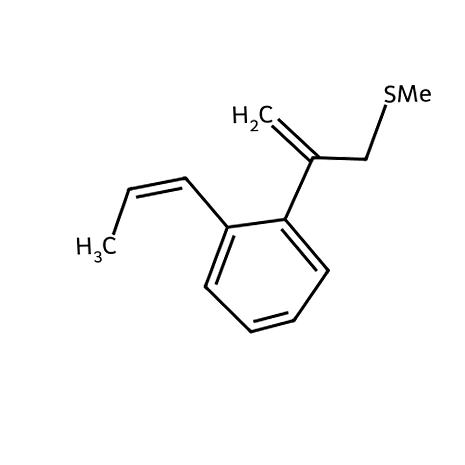 C=C(CSC)c1ccccc1/C=C\C